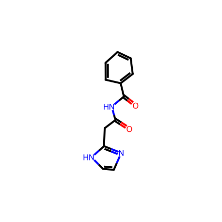 O=C(Cc1ncc[nH]1)NC(=O)c1ccccc1